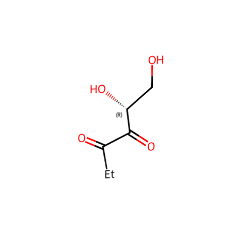 CCC(=O)C(=O)[C@H](O)CO